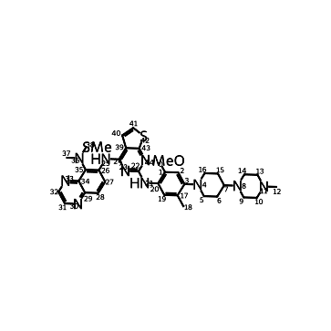 COc1cc(N2CCC(N3CCN(C)CC3)CC2)c(C)cc1Nc1nc(Nc2ccc3nccnc3c2N(C)SC)c2ccsc2n1